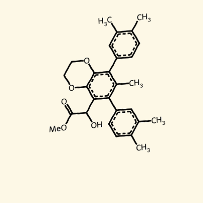 COC(=O)C(O)c1c2c(c(-c3ccc(C)c(C)c3)c(C)c1-c1ccc(C)c(C)c1)OCCO2